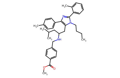 CCCCn1c(-c2ccccc2C)nc(-c2ccc(C)cc2)c1CC(CC(C)C)NCc1ccc(C(=O)OC)cc1